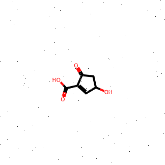 O=C(O)C1=CC(O)CC1=O